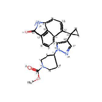 CC(C)(C)OC(=O)N1CCC(n2cc(C3(c4ccc5c6c(cccc46)C(=O)N5)CC3)cn2)CC1